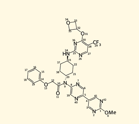 COc1ncc(-c2cnc(N(C(=O)COc3ccccc3)[C@H]3CC[C@H](Nc4ncc(C(F)(F)F)c(OC5COC5)n4)CC3)cn2)cn1